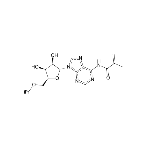 C=C(C)C(=O)Nc1ncnc2c1ncn2[C@@H]1O[C@@H](COC(C)C)[C@@H](O)[C@H]1O